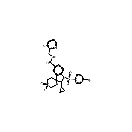 O=C(NCc1ncccc1F)c1ccc2c(c1)C1(CCS(=O)(=O)CC1)C(C1CC1)N2S(=O)(=O)c1ccc(F)cc1